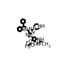 CCC(=O)N[C@H]1C[C@@H](n2cnc3c(NCC(c4ccccc4)c4ccccc4)nc(N4CCCNCC4)nc32)[C@H](OC(=O)C(F)(F)F)[C@@H]1O